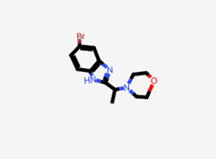 CC(c1nc2cc(Br)ccc2[nH]1)N1CCOCC1